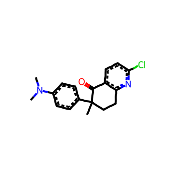 CN(C)c1ccc(C2(C)CCc3nc(Cl)ccc3C2=O)cc1